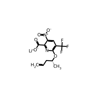 C=CC[C@@H](C)Oc1nc(C(=O)[O-])c([N+](=O)[O-])cc1C(F)(F)F.[Li+]